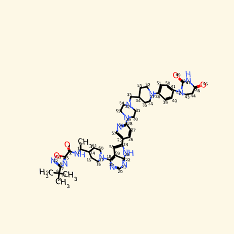 CC(NC(=O)c1nc(C(C)(C)C)no1)C1CCN(c2ncnc3[nH]c(-c4ccc(N5CCN(CC6CCN(c7ccc(N8CCC(=O)NC8=O)cc7)CC6)CC5)nc4)cc23)CC1